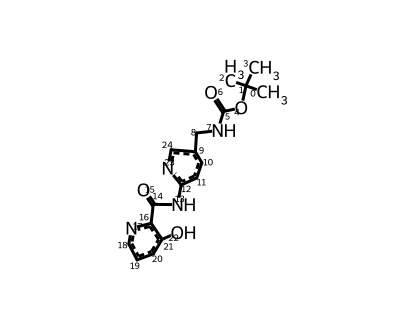 CC(C)(C)OC(=O)NCc1ccc(NC(=O)c2ncccc2O)nc1